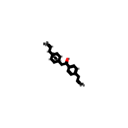 C=CCc1ccc(C(=O)CC23CCC(CC=C)(CC2)CC3)cc1